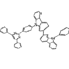 c1ccc(-c2cc(-c3ccccc3)nc(-c3ccc(-n4c5cc(-c6ccc7c8ccccc8n(-c8ccccc8)c7c6)ccc5c5ncccc54)cc3)n2)cc1